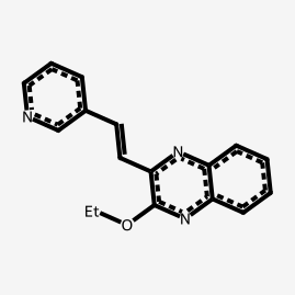 CCOc1nc2ccccc2nc1/C=C/c1cccnc1